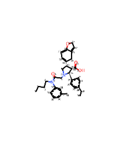 CCCCN(C(=O)CN1C[C@H](C2=CC=C3OCC=C3C2)[C@H](C(=O)O)[C@H]1c1ccc(CC)cc1)c1cccc(C)c1